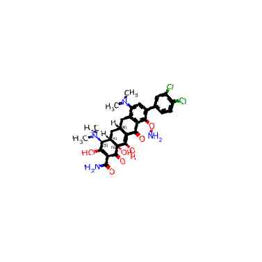 CN(C)c1cc(-c2ccc(Cl)c(Cl)c2)c(ON)c2c1C[C@H]1C[C@H]3[C@H](N(C)C)C(O)=C(C(N)=O)C(=O)[C@@]3(O)C(O)=C1C2=O